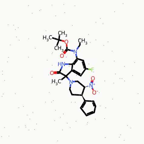 CCN(C(=O)OC(C)(C)C)c1cc(F)cc2c1NC(=O)C2(C)N1CC[C@H](c2ccccc2)[C@@H]([N+](=O)[O-])C1